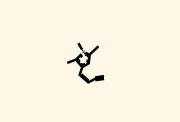 C#C/C=C\c1cc(C)n(C)c1C